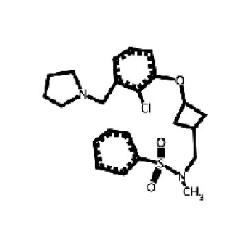 CN(CC1CC(Oc2cccc(CN3CCCC3)c2Cl)C1)S(=O)(=O)c1ccccc1